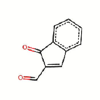 O=CC1=Cc2ccccc2C1=O